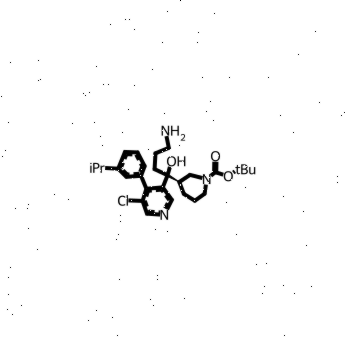 CC(C)c1cccc(-c2c(Cl)cncc2C(O)(CCCN)[C@@H]2CCCN(C(=O)OC(C)(C)C)C2)c1